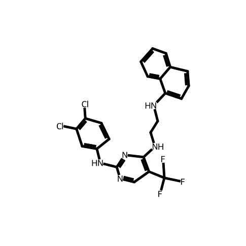 FC(F)(F)c1cnc(Nc2ccc(Cl)c(Cl)c2)nc1NCCNc1cccc2ccccc12